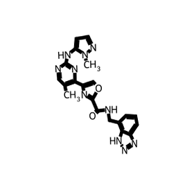 Cc1cnc(Nc2ccnn2C)nc1-c1coc(C(=O)NCc2cccc3nn[nH]c23)n1